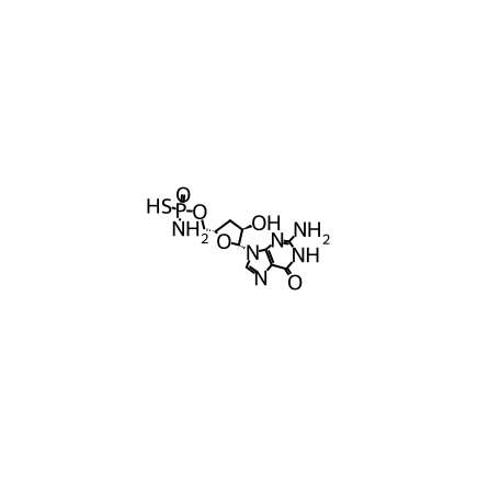 Nc1nc2c(ncn2[C@@H]2O[C@H](COP(N)(=O)S)C[C@H]2O)c(=O)[nH]1